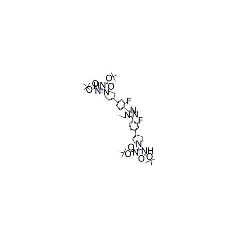 CCn1c(-c2ccc(C3=CCN(/C(=N\C(=O)OC(C)(C)C)NC(=O)OC(C)(C)C)CC3)cc2F)nnc1-c1ccc(C2=CCN(/C(=N/C(=O)OC(C)(C)C)NC(=O)OC(C)(C)C)CC2)cc1F